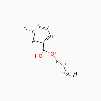 Cc1cccc(C(O)OCCS(=O)(=O)O)c1